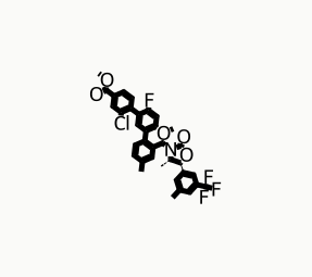 COC(=O)c1ccc(-c2cc(-c3ccc(C)cc3CN3C(=O)O[C@H](c4cc(C)cc(C(F)(F)F)c4)[C@@H]3C)c(OC)cc2F)c(Cl)c1